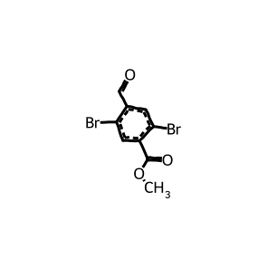 COC(=O)c1cc(Br)c(C=O)cc1Br